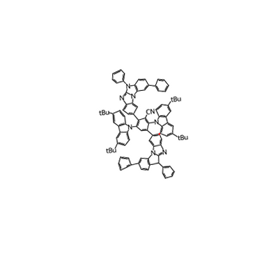 CC(C)(C)c1ccc2c(c1)c1cc(C(C)(C)C)ccc1n2-c1cc(-c2ccc3nc4n(c3c2)-c2cc(-c3ccccc3)ccc2C4c2ccccc2)c(-n2c3ccc(C(C)(C)C)cc3c3cc(C(C)(C)C)ccc32)c(C#N)c1-c1ccc2nc3n(-c4ccccc4)c4ccc(-c5ccccc5)cc4n3c2c1